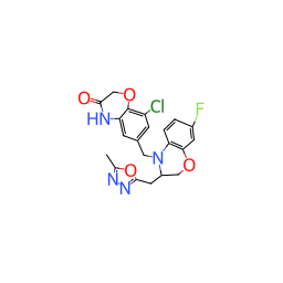 Cc1nnc(CC2COc3cc(F)ccc3N2Cc2cc(Cl)c3c(c2)NC(=O)CO3)o1